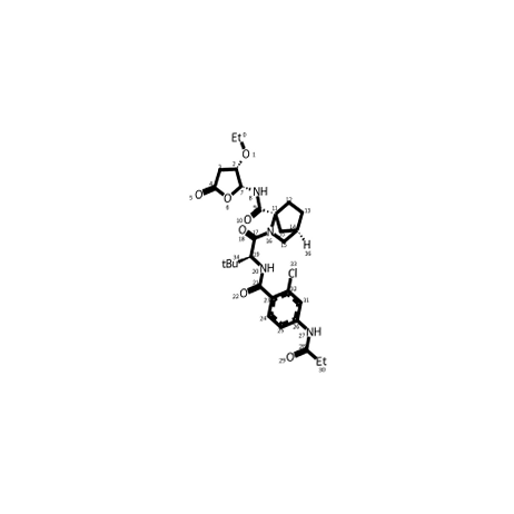 CCO[C@H]1CC(=O)O[C@H]1NC(=O)[C@@]12CC[C@@H](CN1C(=O)[C@@H](NC(=O)c1ccc(NC(=O)CC)cc1Cl)C(C)(C)C)C2